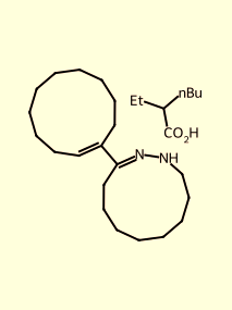 C1=C(C2=NNCCCCCCCC2)CCCCCCCCC1.CCCCC(CC)C(=O)O